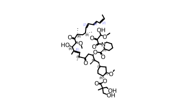 C\C=C/C=C/C=C\[C@H](C)C[C@@H](C)C(=O)[C@H](OC)[C@H](O)/C(C)=C/[C@@H](C)C(=O)CC(OC(=O)[C@@H]1CCCCN1C(=O)C(=O)C(O)OC)[C@H](C)C[C@@H]1CC[C@@H](OC(=O)C(C)(CO)CO)[C@H](OC)C1